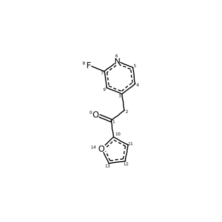 O=C(Cc1ccnc(F)c1)c1ccco1